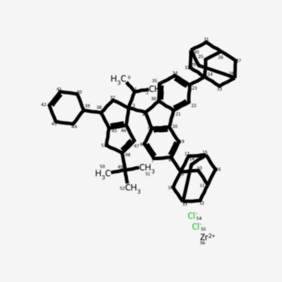 CC(C)C1(C2c3ccc(C45CC6CC(CC(C6)C4)C5)cc3-c3cc(C45CC6CC(CC(C6)C4)C5)ccc32)CC(C2CC=CCC2)C2=C1C=C(C(C)(C)C)C2.[Cl-].[Cl-].[Zr+2]